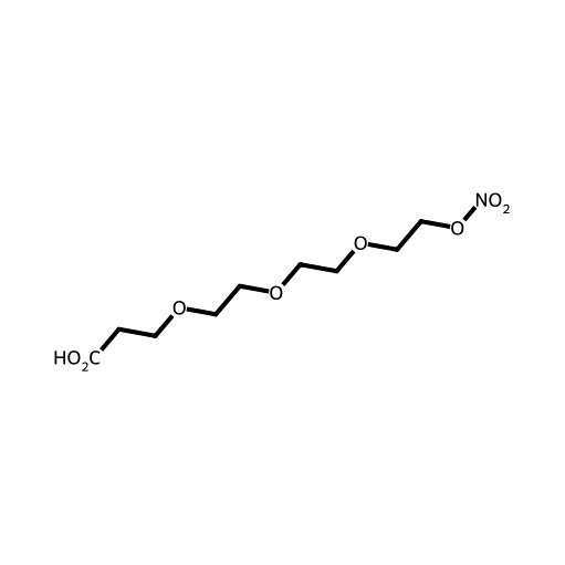 O=C(O)CCOCCOCCOCCO[N+](=O)[O-]